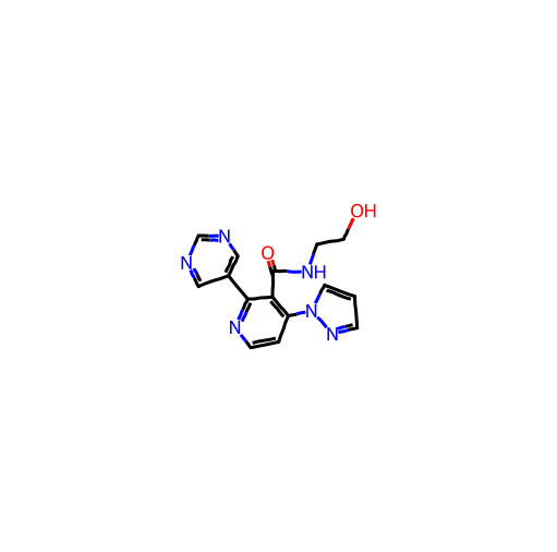 O=C(NCCO)c1c(-n2cccn2)ccnc1-c1cncnc1